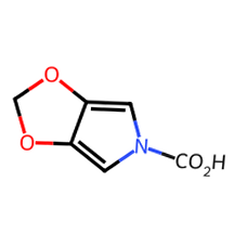 O=C(O)n1cc2c(c1)OCO2